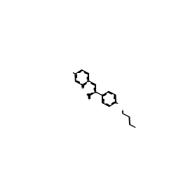 CCCCOc1ccc(-c2cc3ccc(O)cc3oc2=O)cc1